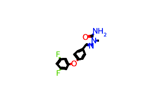 CN(N=Cc1ccc(Oc2cc(F)cc(F)c2)cc1)C(N)=O